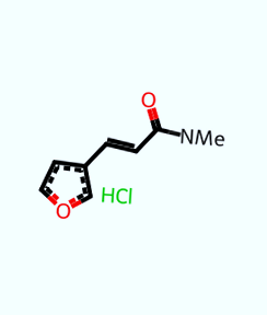 CNC(=O)C=Cc1ccoc1.Cl